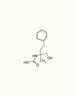 CC(CO)(CCc1ccccc1)NC(=O)O